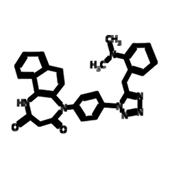 CN(C)c1ccccc1Cc1nnnn1-c1ccc(N2C(=O)CC(=O)Nc3c2ccc2ccccc32)cc1